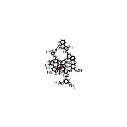 COc1cc(OC)cc(C2OC3C(OC4C(CO)OC(Oc5ccc(CC6NC(=O)C(C(C)c7ccccc7)NC(=O)CNC(=O)C(CO)NC(=O)C(C(O)C7CNC(=N)N7C7OC(CO)C(O)C(O)C7O)NC(=O)C(C(O)C7CNC(=N)N7)NC6=O)cc5)C(O)C4O)OC(CO)C(O)C3O2)c1